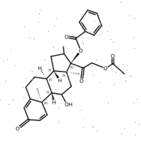 CC(=O)OCC(=O)[C@@]1(OC(=O)c2ccccc2)C(C)C[C@H]2[C@@H]3CCC4=CC(=O)C=C[C@]4(C)[C@H]3C(O)C[C@@]21C